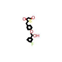 O=C1CC(=O)C(Cc2ccc(OC[C@@H](O)c3cccc(F)c3)cc2)S1